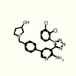 Nc1ncc(-c2ccc(CN3CCC(O)C3)cc2)cc1-c1nnnn1-c1cccc(Cl)c1Cl